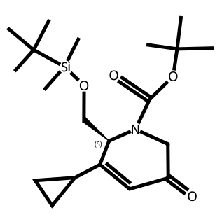 CC(C)(C)OC(=O)N1CC(=O)C=C(C2CC2)[C@H]1CO[Si](C)(C)C(C)(C)C